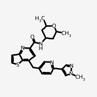 CC1CC(NC(=O)c2cc(Cc3ccc(-c4cnn(C)c4)nc3)c3sccc3n2)CC(C)O1